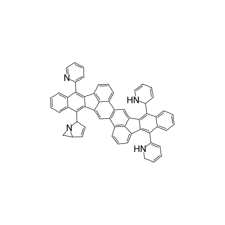 C1=CCNC(c2c3ccccc3c(C3C=CC=CN3)c3c4cc5c(cc6c7c(C8C=CC9CN98)c8ccccc8c(-c8ccccn8)c7c7cccc5c76)c5cccc(c23)c54)=C1